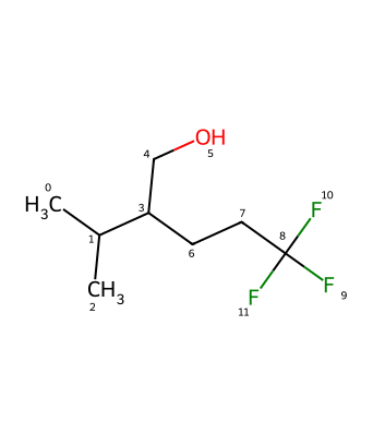 CC(C)C(CO)CCC(F)(F)F